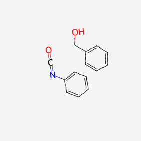 O=C=Nc1ccccc1.OCc1ccccc1